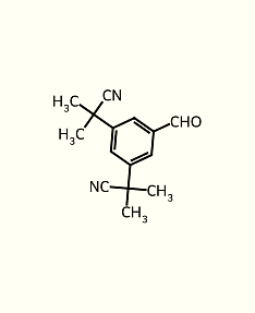 CC(C)(C#N)c1cc(C=O)cc(C(C)(C)C#N)c1